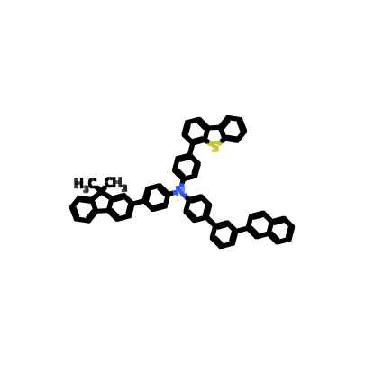 CC1(C)c2ccccc2-c2ccc(-c3ccc(N(c4ccc(-c5cccc(-c6ccc7ccccc7c6)c5)cc4)c4ccc(-c5cccc6c5sc5ccccc56)cc4)cc3)cc21